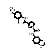 O=C(Nc1ccc(OC(F)(F)F)cc1Br)c1ccn(C(=O)Nc2ccc3c(c2)OCO3)n1